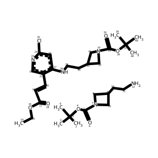 CC(C)(C)OC(=O)N1CC(CCN)C1.CCOC(=O)/C=C/c1cnc(Cl)cc1NCCC1CN(C(=O)OC(C)(C)C)C1